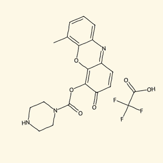 Cc1cccc2nc3ccc(=O)c(OC(=O)N4CCNCC4)c-3oc12.O=C(O)C(F)(F)F